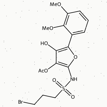 COc1cccc(-c2oc(NS(=O)(=O)CCCBr)c(OC(C)=O)c2O)c1OC